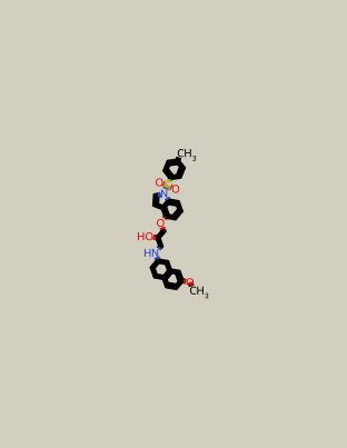 COc1ccc2c(c1)CC(NCC(O)COc1cccc3c1ccn3S(=O)(=O)c1ccc(C)cc1)CC2